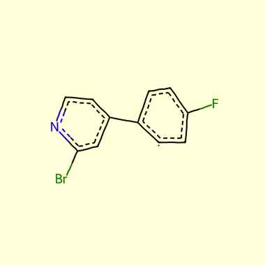 Fc1c[c]c(-c2ccnc(Br)c2)cc1